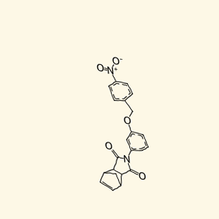 O=C1C2C3C=CC(C3)C2C(=O)N1c1cccc(OCc2ccc([N+](=O)[O-])cc2)c1